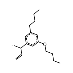 [CH2]C(C=C)c1cc(CCCC)cc(OCCCC)c1